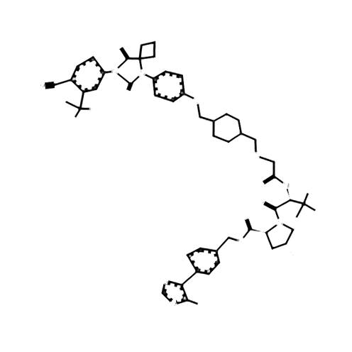 Cc1ncsc1-c1ccc(CNC(=O)[C@@H]2C[C@@H](O)CN2C(=O)[C@@H](NC(=O)COCC2CCC(COc3ccc(N4C(=S)N(c5ccc(C#N)c(C(F)(F)F)c5)C(=O)C45CCC5)cc3)CC2)C(C)(C)C)cc1